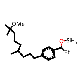 CCC(O[SiH3])c1ccc(CCCC(C)CCCC(C)(C)OC)cc1